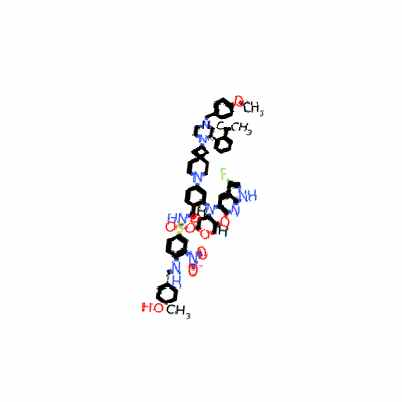 COc1ccc(CN2CCN(C3CC4(CCN(c5ccc(C(=O)NS(=O)(=O)c6ccc(NC[C@H]7CC[C@](C)(O)CC7)c([N+](=O)[O-])c6)c(N6c7cc8c(F)c[nH]c8nc7O[C@H]7COCC[C@@H]76)c5)CC4)C3)[C@H](c3ccccc3C(C)C)C2)cc1